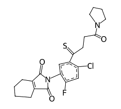 O=C(CCC(=S)c1cc(N2C(=O)C3=C(CCCC3)C2=O)c(F)cc1Cl)N1CCCC1